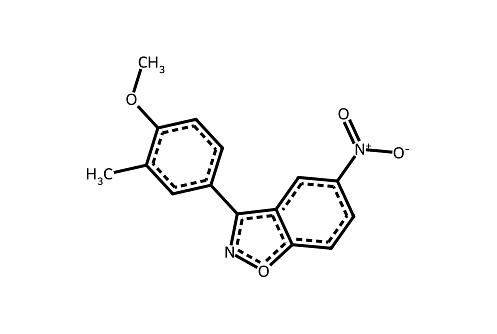 COc1ccc(-c2noc3ccc([N+](=O)[O-])cc23)cc1C